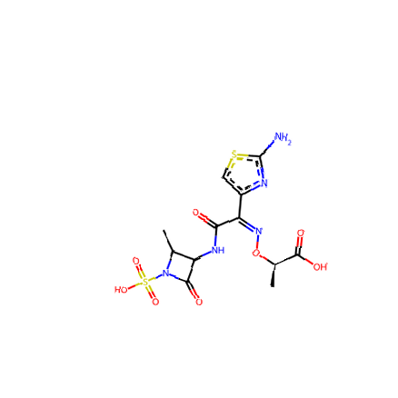 CC1C(NC(=O)/C(=N\O[C@H](C)C(=O)O)c2csc(N)n2)C(=O)N1S(=O)(=O)O